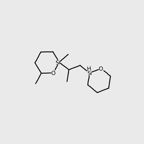 CC1CCC[Si](C)(C(C)C[SiH]2CCCCO2)O1